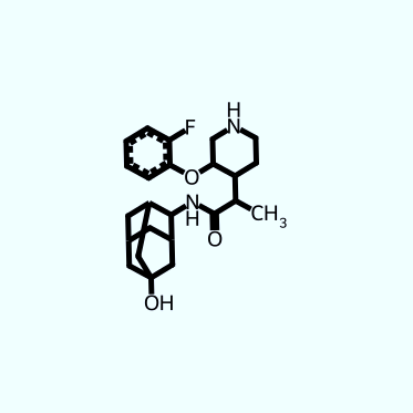 CC(C(=O)NC1C2CC3CC1CC(O)(C3)C2)C1CCNCC1Oc1ccccc1F